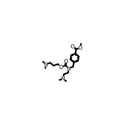 COC(=O)c1ccc(CN(CCN(C)C)C(=O)OCCCN(C)C)cc1